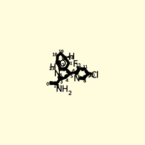 C=C(N)c1cc(-c2ncc(Cl)cc2F)c2c(n1)[C@@H]1CC[C@H](C2)O1